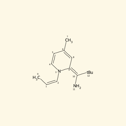 C/C=C\N1C=CC(C)=C/C1=C(/N)C(C)(C)C